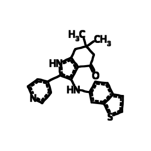 CC1(C)CC(=O)c2c([nH]c(-c3ccncc3)c2Nc2ccc3ccsc3c2)C1